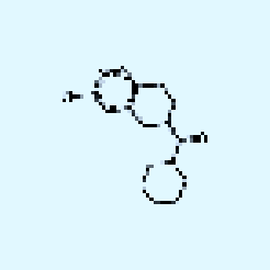 O=C(C1CCCCC1)N1CCc2nnc(Cl)cc2C1